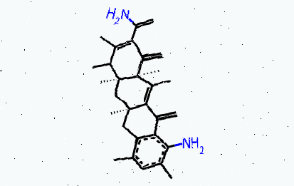 C=C(N)C1=C(C)C(C)[C@]2(C)C[C@]3(C)Cc4c(C)cc(C)c(N)c4C(=C)C3=C(C)[C@]2(C)C1=C